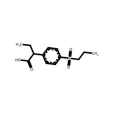 CCCS(=O)(=O)c1ccc(C(CC)C(=O)O)cc1